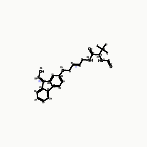 CC(C)(C)[C@@H](NC=O)C(=O)NC/C=C/COc1ccc2c(c1)/C(=N\O)c1ccccc1-2